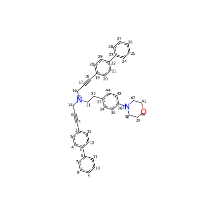 C(#Cc1ccc(-c2ccccc2)cc1)CN(CC#Cc1ccc(-c2ccccc2)cc1)CCc1ccc(N2CCOCC2)cc1